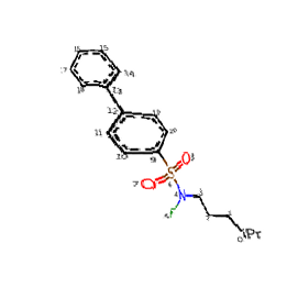 CC(C)CCCN(F)S(=O)(=O)c1ccc(-c2ccccc2)cc1